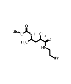 CC(C)CCNC(=O)C(C)CC(C)NC(=O)OC(C)(C)C